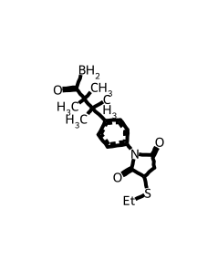 BC(=O)C(C)(C)C(C)(C)c1ccc(N2C(=O)CC(SCC)C2=O)cc1